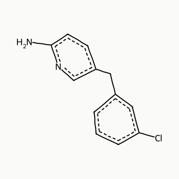 Nc1ccc(Cc2cccc(Cl)c2)cn1